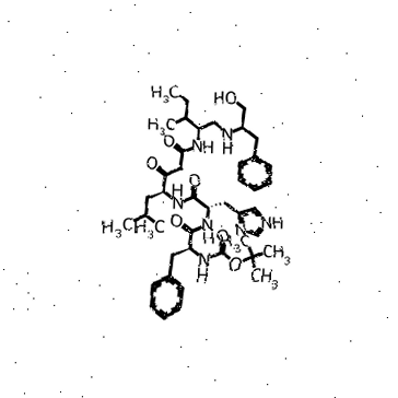 CCC(C)C(CNC(CO)Cc1ccccc1)NC(=O)CC(=O)[C@H](CC(C)C)NC(=O)[C@H](Cc1c[nH]cn1)NC(=O)[C@H](Cc1ccccc1)NC(=O)OC(C)(C)C